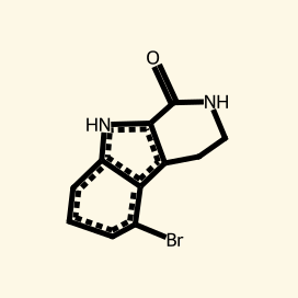 O=C1NCCc2c1[nH]c1cccc(Br)c21